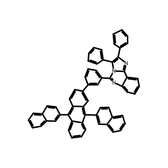 c1ccc(-c2nc3c4ccccc4nc(-c4cccc(-c5ccc6c(-c7ccc8ccccc8c7)c7ccccc7c(-c7ccc8ccccc8c7)c6c5)c4)n3c2-c2ccccc2)cc1